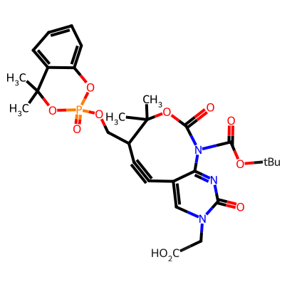 CC(C)(C)OC(=O)N1C(=O)OC(C)(C)C(COP2(=O)Oc3ccccc3C(C)(C)O2)C#Cc2cn(CC(=O)O)c(=O)nc21